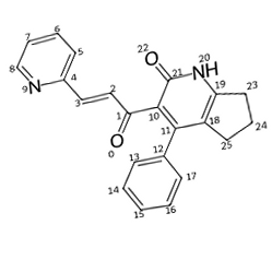 O=C(/C=C/c1ccccn1)c1c(-c2ccccc2)c2c([nH]c1=O)CCC2